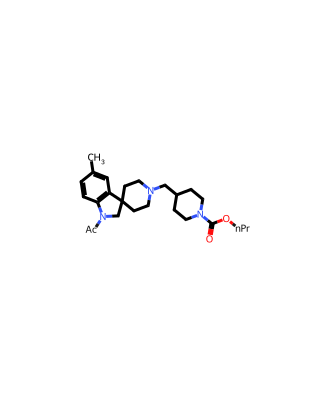 CCCOC(=O)N1CCC(CN2CCC3(CC2)CN(C(C)=O)c2ccc(C)cc23)CC1